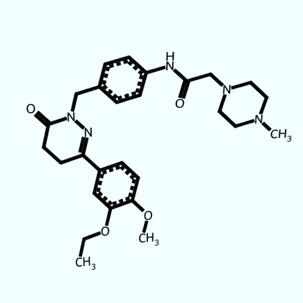 CCOc1cc(C2=NN(Cc3ccc(NC(=O)CN4CCN(C)CC4)cc3)C(=O)CC2)ccc1OC